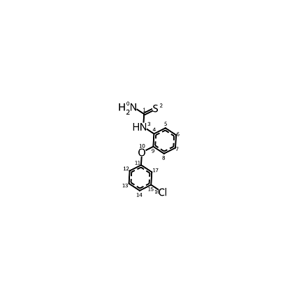 NC(=S)Nc1ccccc1Oc1cccc(Cl)c1